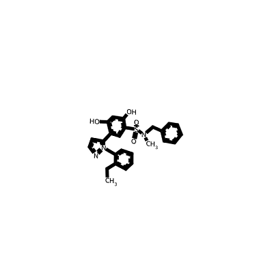 CCc1ccccc1-n1nccc1-c1cc(S(=O)(=O)N(C)Cc2ccccc2)c(O)cc1O